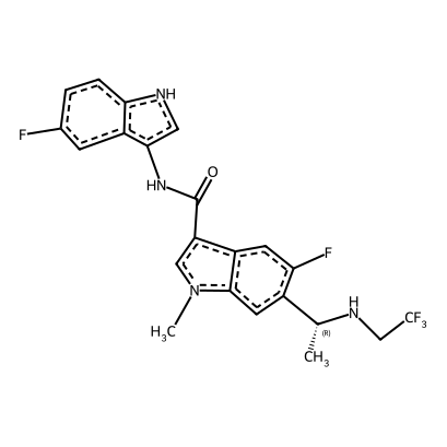 C[C@@H](NCC(F)(F)F)c1cc2c(cc1F)c(C(=O)Nc1c[nH]c3ccc(F)cc13)cn2C